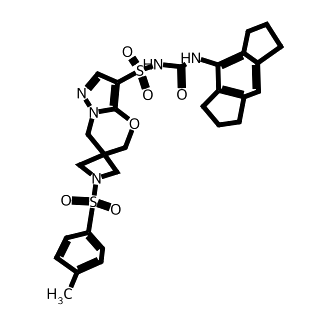 Cc1ccc(S(=O)(=O)N2CC3(COc4c(S(=O)(=O)NC(=O)Nc5c6c(cc7c5CCC7)CCC6)cnn4C3)C2)cc1